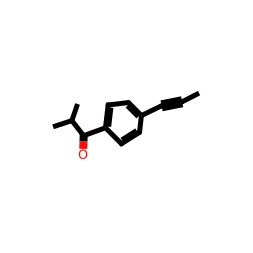 CC#Cc1ccc(C(=O)C(C)C)cc1